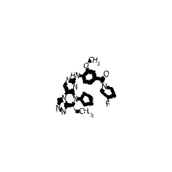 CC[C@@H]1c2nncn2-c2cnc(Nc3ccc(C(=O)N4CC[C@H](F)C4)cc3OC)nc2N1C1CCCC1